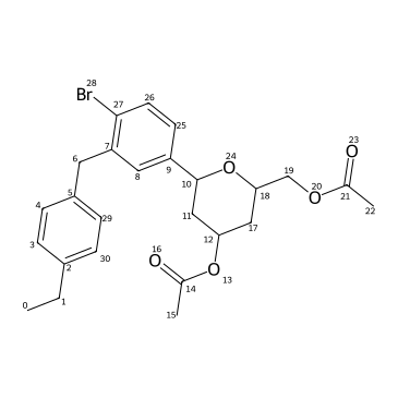 CCc1ccc(Cc2cc(C3CC(OC(C)=O)CC(COC(C)=O)O3)ccc2Br)cc1